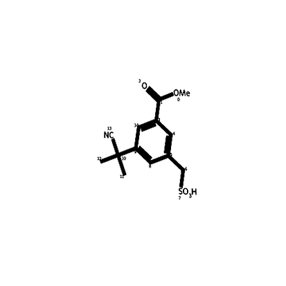 COC(=O)c1cc(CS(=O)(=O)O)cc(C(C)(C)C#N)c1